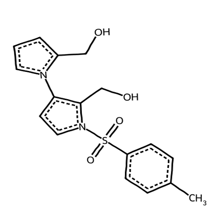 Cc1ccc(S(=O)(=O)n2ccc(-n3cccc3CO)c2CO)cc1